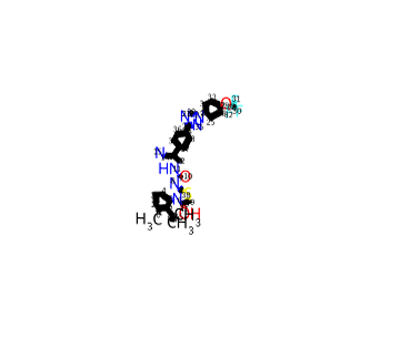 Cc1cccc(N2/C(=N/C(=O)NCC(C#N)c3ccc(-c4ncn(-c5ccc(OC(F)(F)F)cc5)n4)cc3)SCC2O)c1C(C)C